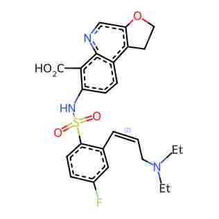 CCN(CC)C/C=C\c1cc(F)ccc1S(=O)(=O)Nc1ccc2c3c(cnc2c1C(=O)O)OCC3